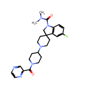 CN(C)C(=O)N1CC2(CCN(C3CCN(C(=O)c4cnccn4)CC3)CC2)c2cc(F)ccc21